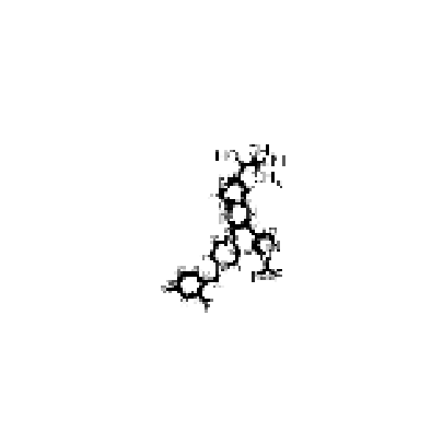 CC(C)(O)[C@@H](O)c1cc2nc(-c3cnn(C(F)F)c3)c(N3CCN(Cc4ccc(F)cc4F)CC3)nc2cn1